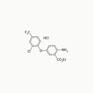 CCOC(=O)c1cc(Oc2ccc(C(F)(F)F)cc2Cl)ccc1N.Cl